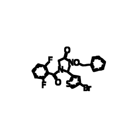 O=C(c1c(F)cccc1F)N1CC(=O)N(OCc2ccccc2)C1c1cc(Br)cs1